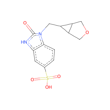 O=c1[nH]c2cc(S(=O)(=O)O)ccc2n1CC1C2COCC21